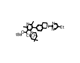 CCc1cnc(N2CCc3cc(-c4c(C)nc(C)c(C(OC(C)(C)C)C(=O)O)c4N4CCC(C)(C)CC4)ccc3C2)nc1